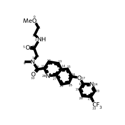 COCCNC(=O)CN(C)C(=O)c1ccc2cc(Oc3ccc(C(F)(F)F)cn3)ccc2n1